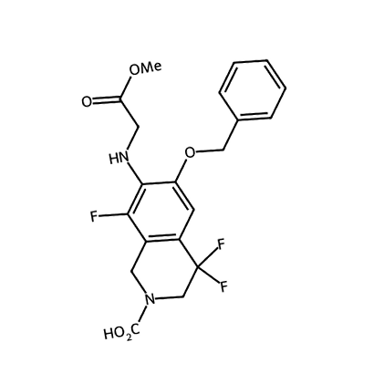 COC(=O)CNc1c(OCc2ccccc2)cc2c(c1F)CN(C(=O)O)CC2(F)F